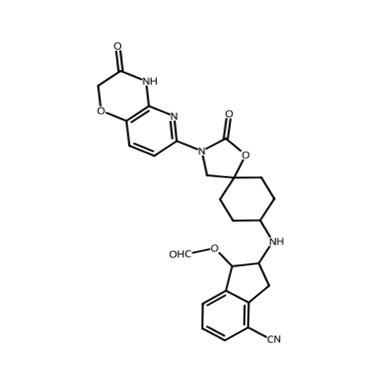 N#Cc1cccc2c1CC(NC1CCC3(CC1)CN(c1ccc4c(n1)NC(=O)CO4)C(=O)O3)C2OC=O